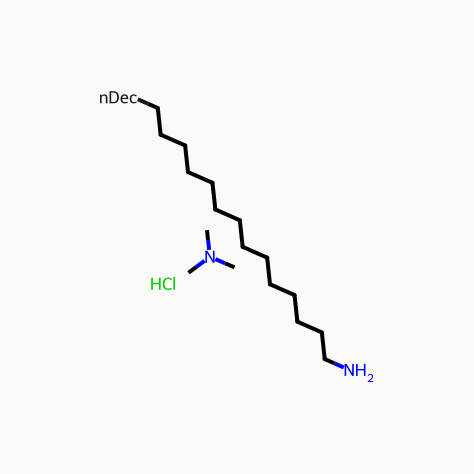 CCCCCCCCCCCCCCCCCCCCCCCCN.CN(C)C.Cl